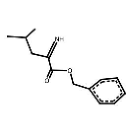 CC(C)CC(=N)C(=O)OCc1ccccc1